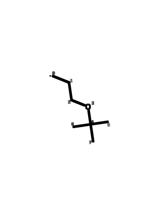 [CH2]CCOC(C)(C)C